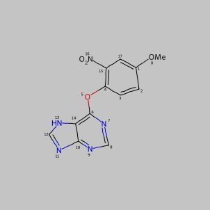 COc1ccc(Oc2ncnc3nc[nH]c23)c([N+](=O)[O-])c1